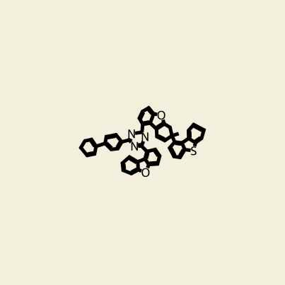 CC1(c2cccc3sc4ccccc4c23)C=Cc2c(oc3cccc(-c4nc(-c5ccc(C6=CCCC=C6)cc5)nc(-c5cccc6oc7ccccc7c56)n4)c23)C1